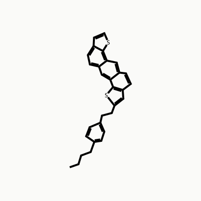 CCCCc1ccc(CCc2cc3ccc4cc5c(ccc6ccsc65)cc4c3s2)cc1